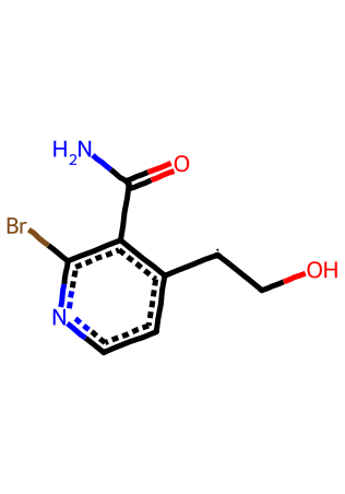 NC(=O)c1c([CH]CO)ccnc1Br